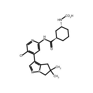 CC1(C)Cc2c(-c3cc(NC(=O)[C@@H]4CCC[C@@H](NC(=O)O)C4)ncc3Cl)cnn2C1